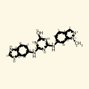 Cn1ncc2ccc(Nc3nc(O)nc(Nc4ccc5ncsc5c4)n3)cc21